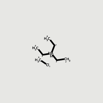 CCl.C[CH2][SnH]([CH2]C)[CH2]C